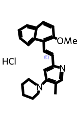 COc1ccc2ccccc2c1/C=C/c1cc(N2CCCCC2)c(C)cn1.Cl